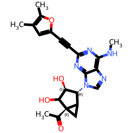 CNc1nc(C#Cc2cc(C)c(C)o2)nc2c1ncn2[C@@H]1C2C[C@]2(C(C)=O)C(O)[C@H]1O